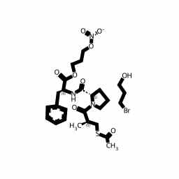 CC(=O)SC[C@@H](C)C(=O)N1CCC[C@H]1C(=O)N[C@@H](Cc1ccccc1)C(=O)OCCCO[N+](=O)[O-].OCCCBr